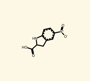 O=C(O)C1Cc2cc([N+](=O)[O-])ccc2N1